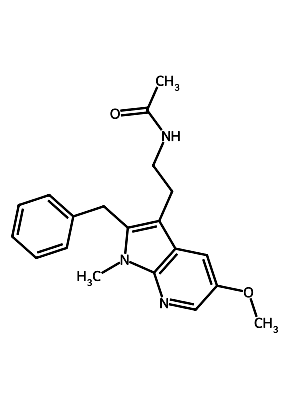 COc1cnc2c(c1)c(CCNC(C)=O)c(Cc1ccccc1)n2C